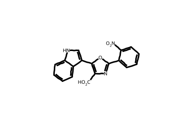 O=C(O)c1nc(-c2ccccc2[N+](=O)[O-])oc1-c1c[nH]c2ccccc12